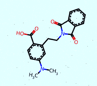 CN(C)c1ccc(C(=O)O)c(CCN2C(=O)c3ccccc3C2=O)c1